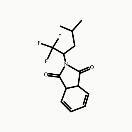 CC(C)CC(N1C(=O)C2C=CC=CC2C1=O)C(F)(F)F